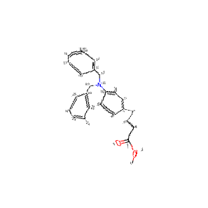 COC(=O)CCCc1ccc(N(Cc2ccccc2)Cc2ccccc2)cc1